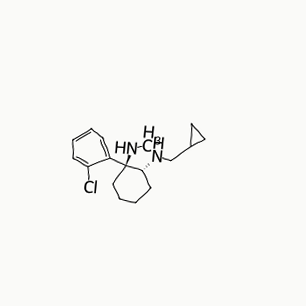 CN[C@]1(c2ccccc2Cl)CCCC[C@H]1NCC1CC1